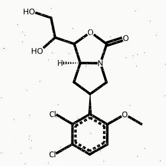 COc1ccc(Cl)c(Cl)c1[C@H]1C[C@H]2C(C(O)CO)OC(=O)N2C1